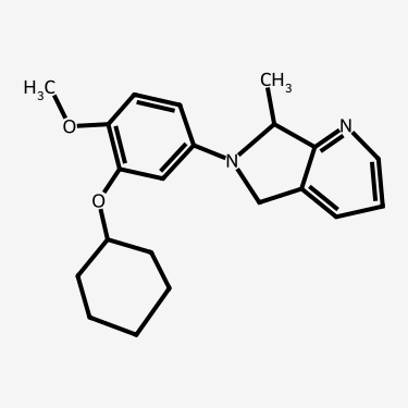 COc1ccc(N2Cc3cccnc3C2C)cc1OC1CCCCC1